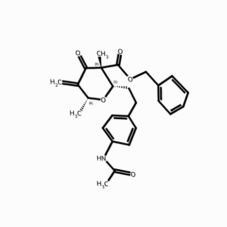 C=C1C(=O)[C@](C)(C(=O)OCc2ccccc2)[C@H](CCc2ccc(NC(C)=O)cc2)O[C@@H]1C